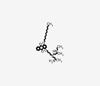 CCCCCCCCCCCCOc1ccc(OCCCCN(CCC(C)N)CCC(C)NCCC)c2c1C(=O)c1ccccc1C2=O